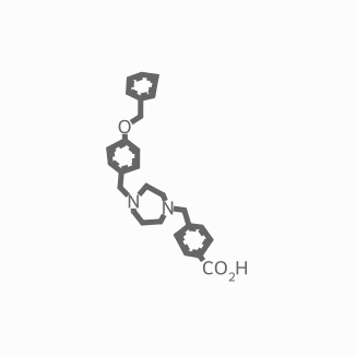 O=C(O)c1ccc(CN2CCCN(Cc3ccc(OCc4ccccc4)cc3)CC2)cc1